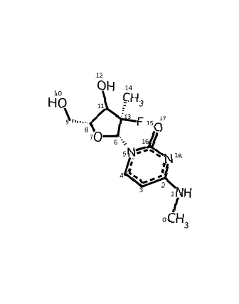 CNc1ccn([C@@H]2O[C@H](CO)C(O)[C@@]2(C)F)c(=O)n1